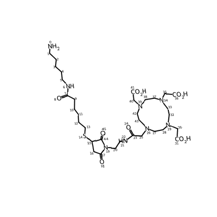 NCCCCCNC(=O)CCCCCSC1CC(=O)N(CCNC(=O)CN2CCN(CC(=O)O)CCN(CC(=O)O)CCN(CC(=O)O)CC2)C1=O